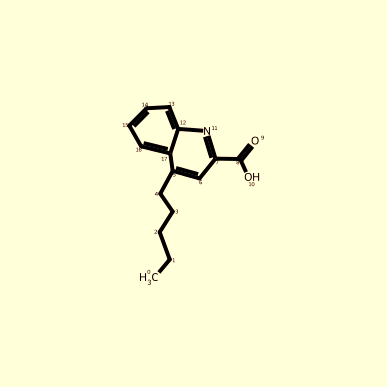 CCCCCc1cc(C(=O)O)nc2ccccc12